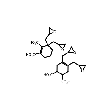 O=C(O)C1=C(C(=O)O)C(CC2CO2)(CC2CO2)CCC1.O=C(O)C1CC(CC2CO2)=C(CC2CO2)CC1C(=O)O